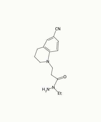 CCN(N)C(=O)CCN1CCCc2cc(C#N)ccc21